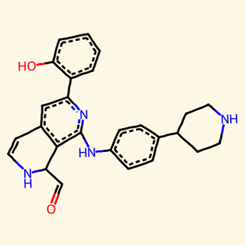 O=CC1NC=Cc2cc(-c3ccccc3O)nc(Nc3ccc(C4CCNCC4)cc3)c21